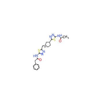 CC(=O)Nc1nnc(C2CC[C@@H](Cc3nnc(NC(=O)Cc4ccccc4)s3)C2)s1